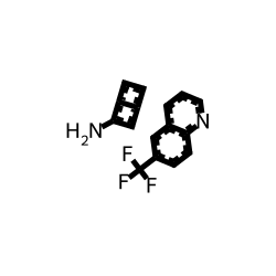 FC(F)(F)c1ccc2ncccc2c1.Nc1cc2ccc1-2